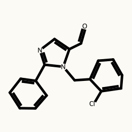 O=Cc1cnc(-c2ccccc2)n1Cc1ccccc1Cl